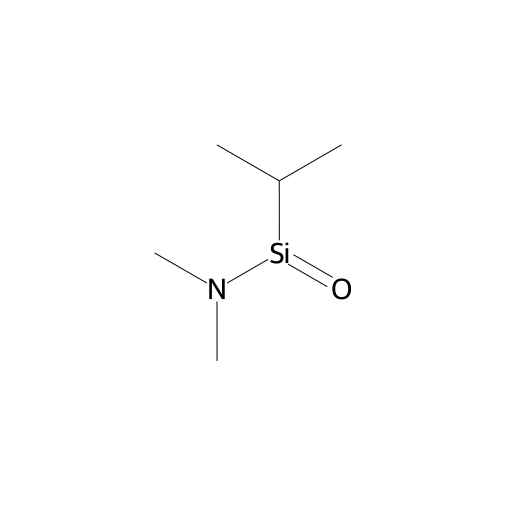 CC(C)[Si](=O)N(C)C